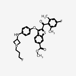 COC(=O)c1ccc2c(Oc3ccc(NC4CN(CCCF)C4)cc3)c(C(=O)c3c(C)cc(F)cc3C)sc2c1